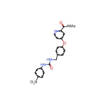 CNC(=O)c1cc(Oc2ccc(CNC(=O)Nc3ccc([N+](=O)[O-])cc3)cc2)ccn1